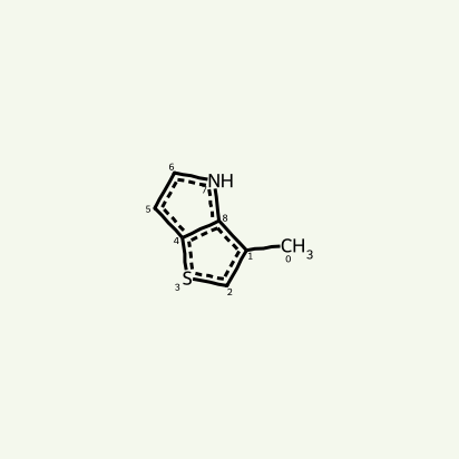 Cc1csc2cc[nH]c12